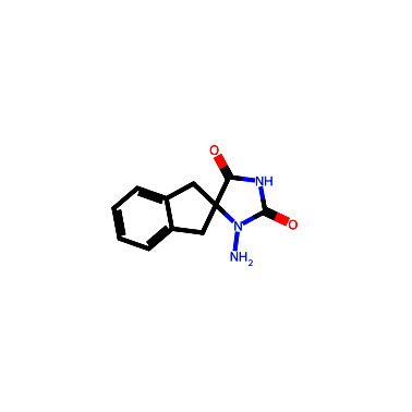 NN1C(=O)NC(=O)C12Cc1ccccc1C2